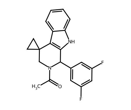 CC(=O)N1CC2(CC2)c2c([nH]c3ccccc23)C1c1cc(F)cc(F)c1